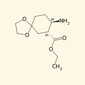 CCOC(=O)[C@@H]1CC2(CC[C@H]1N)OCCO2